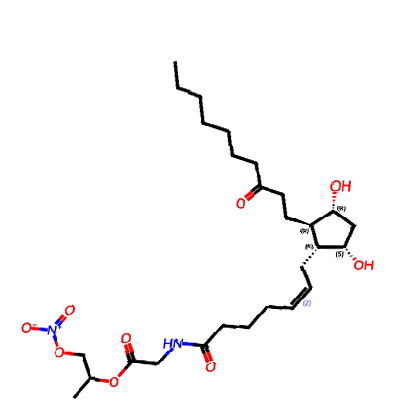 CCCCCCCC(=O)CC[C@@H]1[C@@H](C/C=C\CCCC(=O)NCC(=O)OC(C)CO[N+](=O)[O-])[C@@H](O)C[C@H]1O